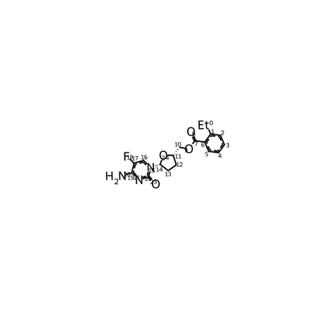 CCc1ccccc1C(=O)OC[C@@H]1CC[C@H](n2cc(F)c(N)nc2=O)O1